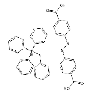 O=C(O)c1ccc(SSc2ccc(C(=O)O)cc2)cc1.c1ccc(C[PH](c2ccccc2)(c2ccccc2)c2ccccc2)cc1